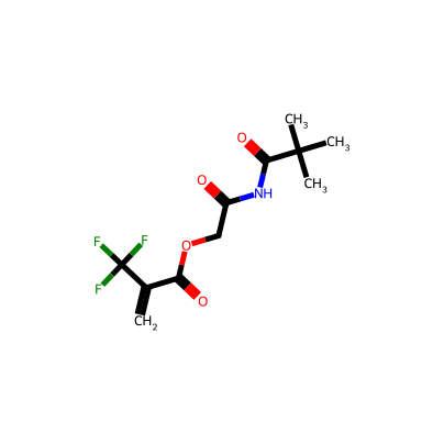 C=C(C(=O)OCC(=O)NC(=O)C(C)(C)C)C(F)(F)F